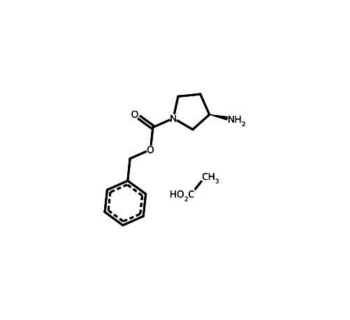 CC(=O)O.N[C@@H]1CCN(C(=O)OCc2ccccc2)C1